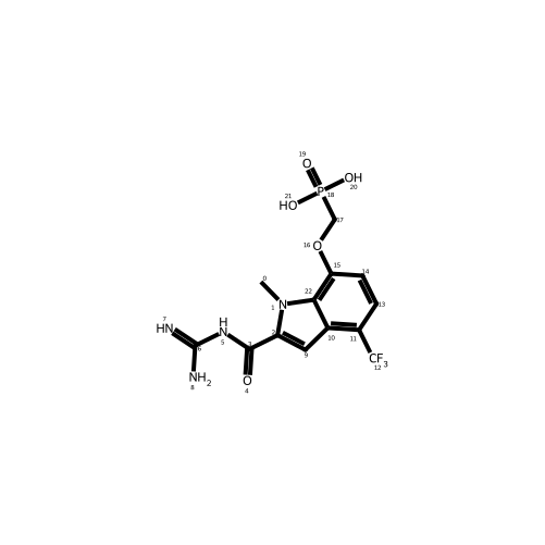 Cn1c(C(=O)NC(=N)N)cc2c(C(F)(F)F)ccc(OCP(=O)(O)O)c21